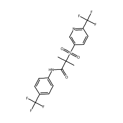 CC(C)(C(=O)Nc1ccc(C(F)(F)F)cc1)S(=O)(=O)c1ccc(C(F)(F)F)nc1